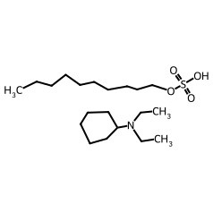 CCCCCCCCCCOS(=O)(=O)O.CCN(CC)C1CCCCC1